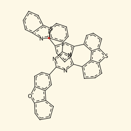 c1ccc(-c2nc(-c3ccc4oc5ccccc5c4c3)nc(-c3cccc4sc5cccc(-c6cccc(-c7nc8ccccc8s7)c6)c5c34)n2)cc1